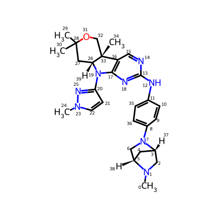 CN1C[C@@H]2C[C@H]1CN2c1ccc(Nc2ncc3c(n2)N(c2ccn(C)n2)[C@@H]2CC(C)(C)OC[C@]32C)cc1